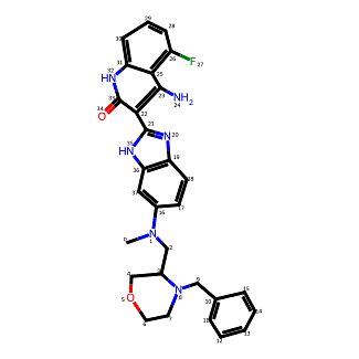 CN(CC1COCCN1Cc1ccccc1)c1ccc2nc(-c3c(N)c4c(F)cccc4[nH]c3=O)[nH]c2c1